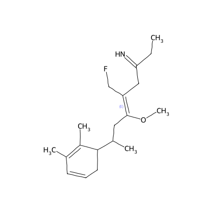 CCC(=N)C/C(CF)=C(/CC(C)C1CC=CC(C)=C1C)OC